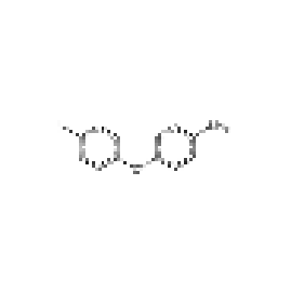 Nc1ccc(Oc2ccc(I)cc2)cc1